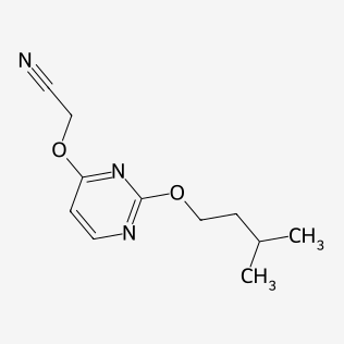 CC(C)CCOc1nccc(OCC#N)n1